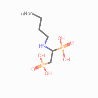 CCCCCCCCCCCCNC(CP(=O)(O)O)P(=O)(O)O